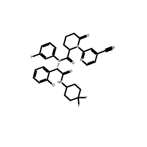 N#Cc1ccnc(N2C(=O)CCCC2C(=O)N(c2cccc(F)c2)[C@H](C(=O)NC2CCC(F)(F)CC2)c2ccccc2Cl)c1